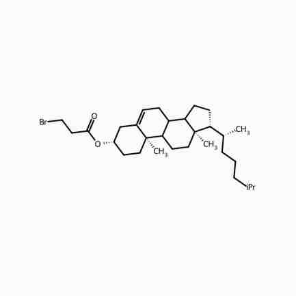 CC(C)CCC[C@@H](C)[C@H]1CCC2C3CC=C4C[C@@H](OC(=O)CCBr)CC[C@]4(C)C3CC[C@@]21C